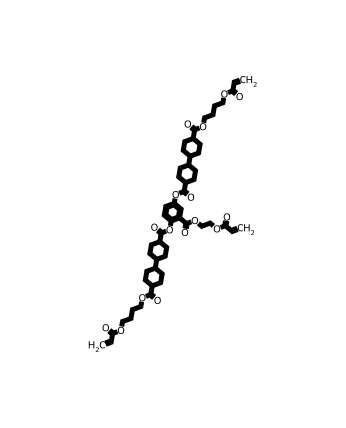 C=CC(=O)OCCCCOC(=O)C1CCC(C2CCC(C(=O)Oc3ccc(OC(=O)C4CCC(C5CCC(C(=O)OCCCCOC(=O)C=C)CC5)CC4)c(C(=O)OCCOC(=O)C=C)c3)CC2)CC1